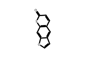 O=c1ccc2cc3ccoc3cc2s1